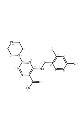 NC(=O)c1nnc(N2CCNCC2)nc1NCc1ccc(Cl)cc1Cl